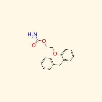 NC(=O)OCCOc1ccccc1Cc1ccccc1